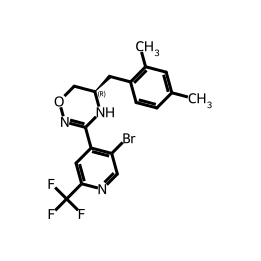 Cc1ccc(C[C@@H]2CON=C(c3cc(C(F)(F)F)ncc3Br)N2)c(C)c1